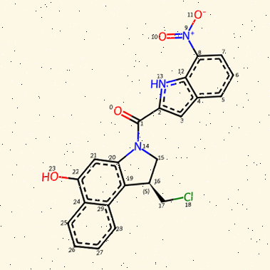 O=C(c1cc2cccc([N+](=O)[O-])c2[nH]1)N1C[C@@H](CCl)c2c1cc(O)c1ccccc21